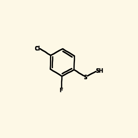 Fc1cc(Cl)ccc1SS